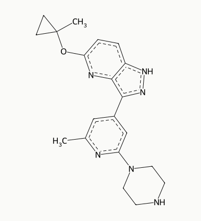 Cc1cc(-c2n[nH]c3ccc(OC4(C)CC4)nc23)cc(N2CCNCC2)n1